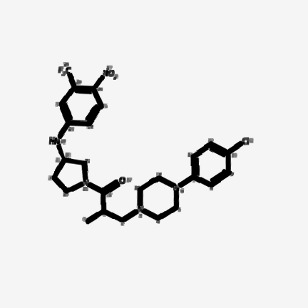 CC(CN1CCN(c2ccc(Cl)cc2)CC1)C(=O)N1CC[C@@H](Nc2ccc([N+](=O)[O-])c(C(F)(F)F)c2)C1